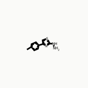 Cc1ccc(-c2csc(NN)n2)cc1